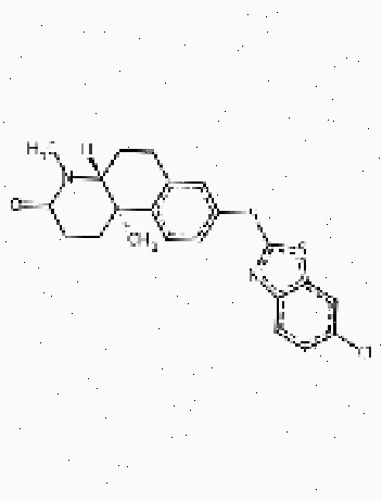 CN1C(=O)CC[C@]2(C)c3ccc(Sc4nc5ccc(Cl)cc5s4)cc3CC[C@@H]12